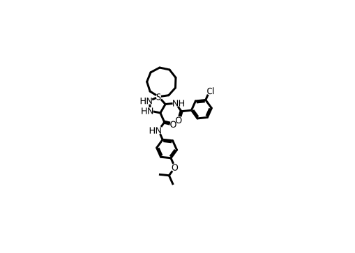 CC(C)Oc1ccc(NC(=O)C2NNS3(CCCCCCCC3)C2NC(=O)c2cccc(Cl)c2)cc1